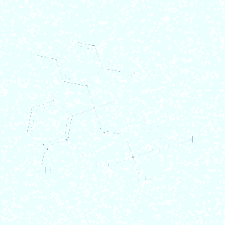 Cn1cccc(C(CC#CSI)(NSC(C)(C)C)c2cc(F)ccc2F)c1=O